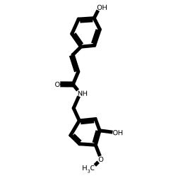 COc1ccc(CNC(=O)/C=C/c2ccc(O)cc2)cc1O